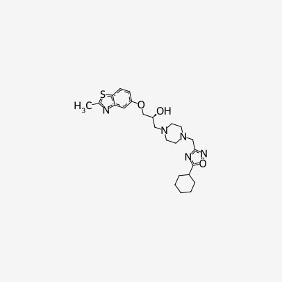 Cc1nc2cc(OC[C@@H](O)CN3CCN(Cc4noc(C5CCCCC5)n4)CC3)ccc2s1